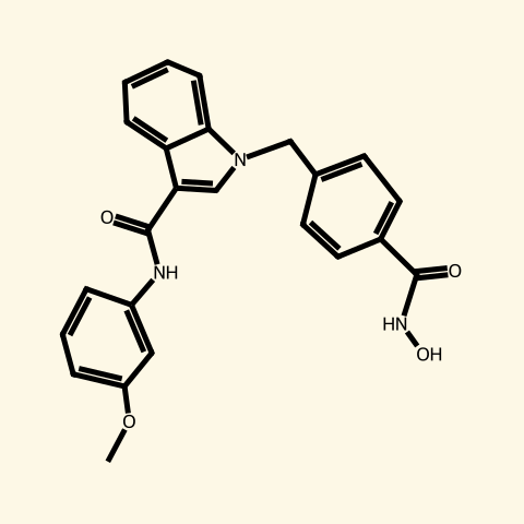 COc1cccc(NC(=O)c2cn(Cc3ccc(C(=O)NO)cc3)c3ccccc23)c1